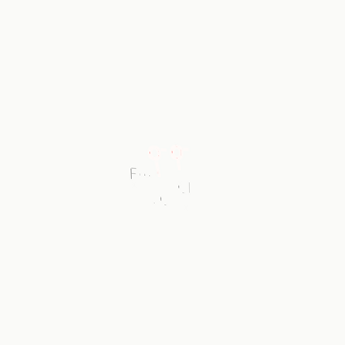 C[O-].C[O-].[Fe+2]